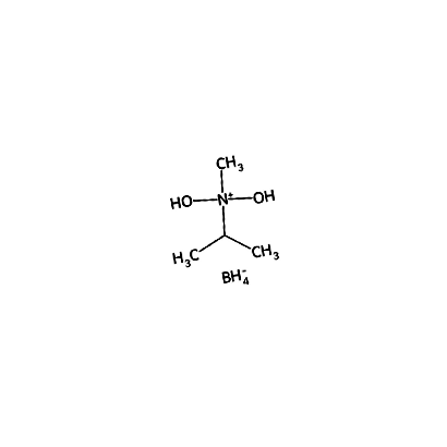 CC(C)[N+](C)(O)O.[BH4-]